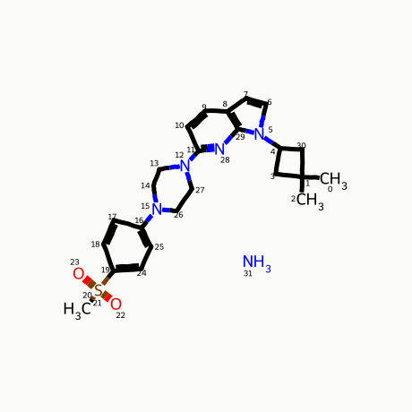 CC1(C)CC(n2ccc3ccc(N4CCN(c5ccc(S(C)(=O)=O)cc5)CC4)nc32)C1.N